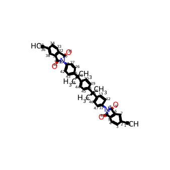 C#Cc1ccc2c(c1)C(=O)N(c1ccc(C(C)(C)c3ccc(C(C)(C)c4ccc(N5C(=O)c6ccc(C#C)cc6C5=O)cc4)cc3)cc1)C2=O